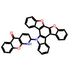 O=c1c2c(oc3ccccc13)NC(n1c3ccccc3c3c4c5ccccc5oc4c4oc5ccccc5c4c31)C=C2